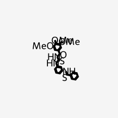 COc1cc(C(=O)NC(=S)Nc2cccc(NC(=S)c3ccccc3)c2)cc(OC)c1OC